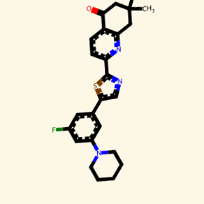 CC1(C)CC(=O)c2ccc(-c3ncc(-c4cc(F)cc(N5CCCCC5)c4)s3)nc2C1